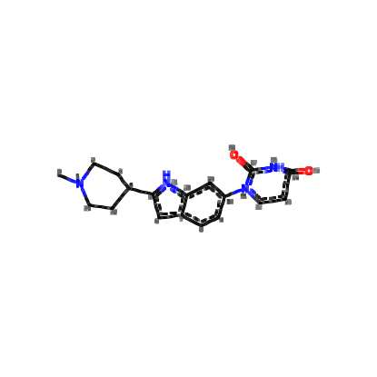 CN1CCC(c2cc3ccc(-n4ccc(=O)[nH]c4=O)cc3[nH]2)CC1